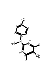 CCCN(c1ccc(Cl)cc1)c1nc(C)c(O)c(C)n1